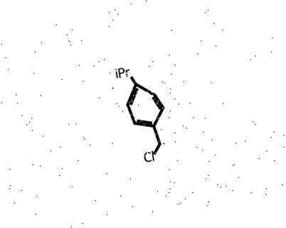 CC(C)c1ccc([CH]Cl)cc1